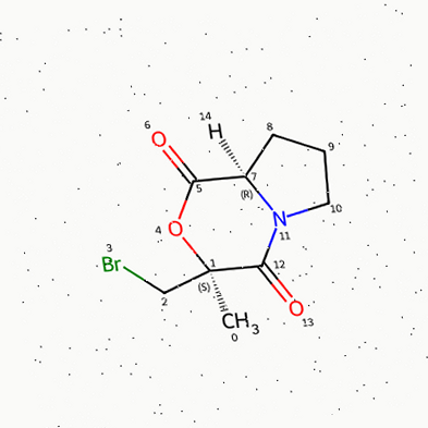 C[C@]1(CBr)OC(=O)[C@H]2CCCN2C1=O